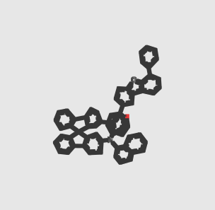 c1ccc(-c2ccc3c(c2)C2(c4ccccc4-3)c3ccccc3-c3ccc(N(c4ccc(-c5ccc6oc7c(-c8ccccc8)cccc7c6c5)cc4)c4cccc5ccccc45)cc32)cc1